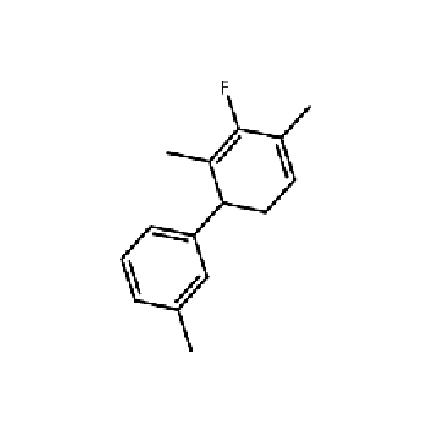 CC1=CCC(c2cccc(C)c2)C(C)=C1F